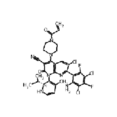 C=CC(=O)N1CCN(c2c(C#N)c(=O)n(C3=C(C)C=CN[C@@H]3C(C)C)c3nc(-c4c(N)c(Cl)c(F)c(Cl)c4F)c(Cl)cc23)CC1